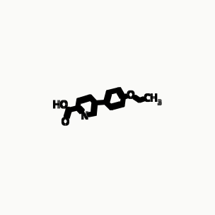 CCOc1ccc(-c2ccc(C(=O)O)nc2)cc1